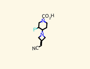 N#CC=C1CN(C2CCN(C(=O)O)CC2F)C1